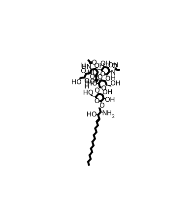 CCCCCCCCCCCCC/C=C/[C@@H](O)[C@@H](N)CO[C@@H]1O[C@H](CO)[C@@H](O[C@@H]2O[C@H](CO)[C@H](O[C@@H]3O[C@H](CO)[C@H](O)[C@H](O)[C@H]3NC(C)=O)[C@H](O[C@]3(C(=O)O)C[C@H](O)[C@@H](NC(C)=O)[C@H]([C@H](O)[C@H](O)CO)O3)[C@H]2O)[C@H](O)[C@H]1O